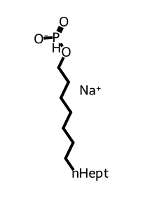 CCCCCCCCCCCCCCO[PH](=O)[O-].[Na+]